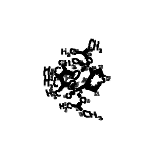 CC(C)OP(=O)(OC(C)C)c1cscc1P(=O)(OC(C)C)OC(C)C